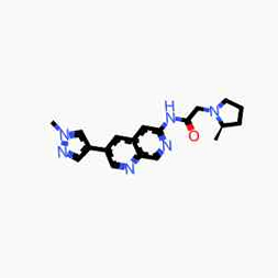 C[C@@H]1CCCN1CC(=O)Nc1cc2cc(-c3cnn(C)c3)cnc2cn1